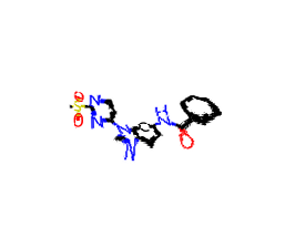 CS(=O)(=O)c1nccc(-n2cnc3ccc(NC(=O)c4ccccc4)cc32)n1